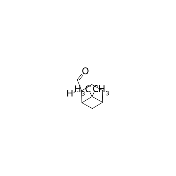 CC1(C)C2CC[C@H](C=O)C1C2